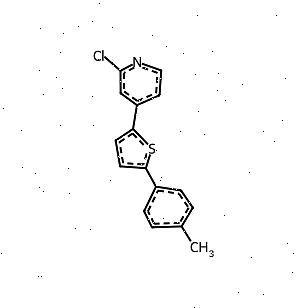 Cc1ccc(-c2ccc(-c3ccnc(Cl)c3)s2)cc1